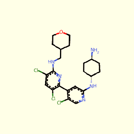 N[C@H]1CC[C@H](Nc2cc(-c3nc(NCC4CCOCC4)c(Cl)cc3Cl)c(Cl)cn2)CC1